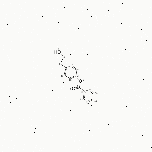 O=C(Oc1ccc(CCO)cc1)c1ccccc1